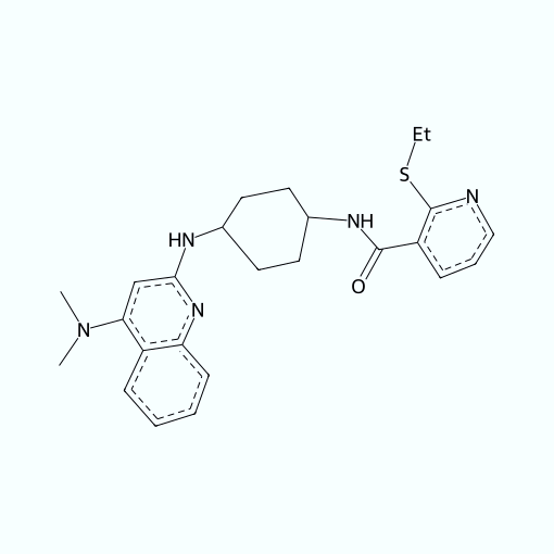 CCSc1ncccc1C(=O)NC1CCC(Nc2cc(N(C)C)c3ccccc3n2)CC1